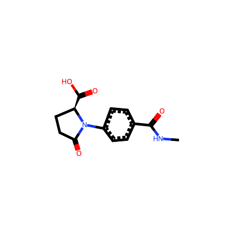 CNC(=O)c1ccc(N2C(=O)CC[C@H]2C(=O)O)cc1